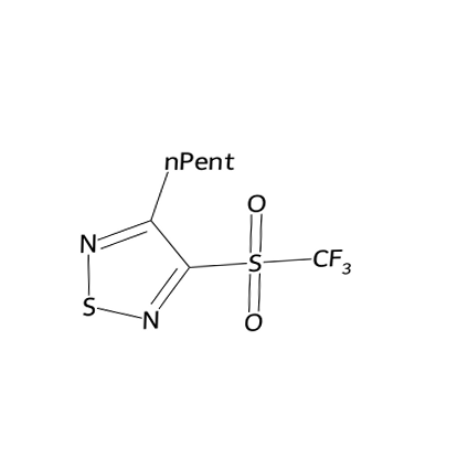 CCCCCc1nsnc1S(=O)(=O)C(F)(F)F